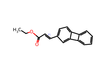 CCOC(=O)/C=C/c1ccc2c(c1)-c1ccccc1-2